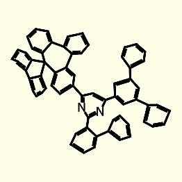 c1ccc(-c2cc(-c3ccccc3)cc(-c3cc(-c4ccc5c(c4)-c4ccccc4-c4ccccc4C54c5ccccc5-c5ccccc54)nc(-c4ccccc4-c4ccccc4)n3)c2)cc1